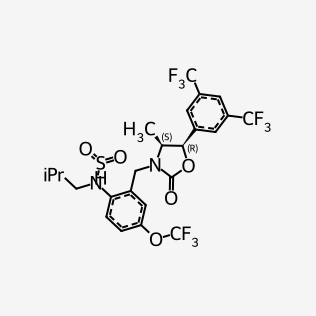 CC(C)CN(c1ccc(OC(F)(F)F)cc1CN1C(=O)O[C@H](c2cc(C(F)(F)F)cc(C(F)(F)F)c2)[C@@H]1C)[SH](=O)=O